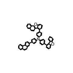 c1ccc2c(c1)ccc1cc(-c3ccc(N(c4ccc(-c5cccc6oc7ccccc7c56)cc4)c4ccc(-c5cccc6oc7c8ccccc8ccc7c56)cc4)cc3)ccc12